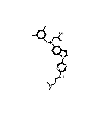 Cc1cc(C)cc(SN(CC(=O)O)c2ccc3c(ccn3-c3cnc(NCCN(C)C)cn3)c2)c1